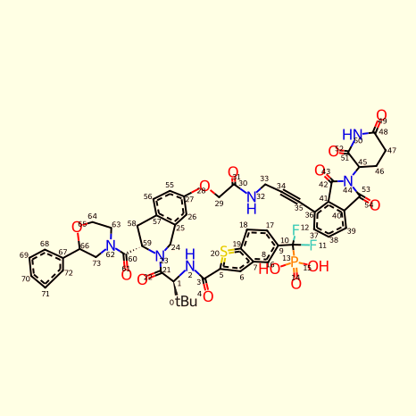 CC(C)(C)[C@H](NC(=O)c1cc2cc(C(F)(F)P(=O)(O)O)ccc2s1)C(=O)N1Cc2cc(OCC(=O)NCC#Cc3cccc4c3C(=O)N(C3CCC(=O)NC3=O)C4=O)ccc2C[C@H]1C(=O)N1CCOC(c2ccccc2)C1